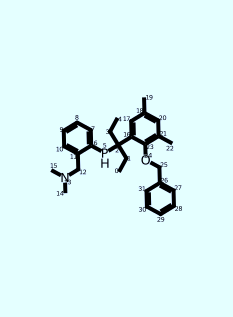 CCC(CC)(Pc1ccccc1CN(C)C)c1cc(C)cc(C)c1OCc1ccccc1